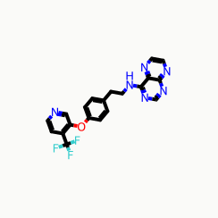 FC(F)(F)c1ccncc1Oc1ccc(CCNc2ncnc3nccnc23)cc1